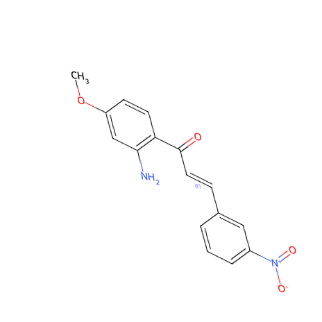 COc1ccc(C(=O)/C=C/c2cccc([N+](=O)[O-])c2)c(N)c1